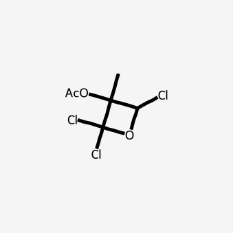 CC(=O)OC1(C)C(Cl)OC1(Cl)Cl